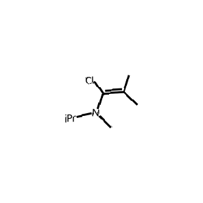 CC(C)=C(Cl)N(C)C(C)C